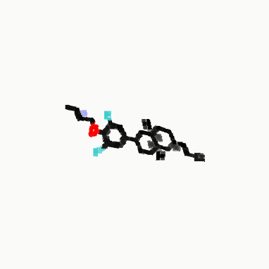 C/C=C/COc1c(F)cc(C2CC[C@@H]3C[C@H](C=CCC)CC[C@@H]3C2)cc1F